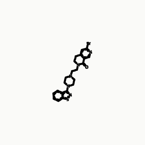 O=C1c2cnc(Br)cc2CCN1CCN1CCN(c2nsc3ccccc23)CC1